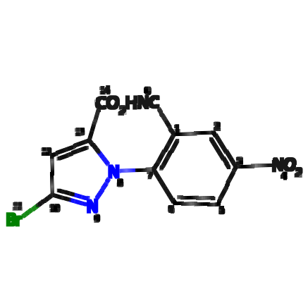 N#Cc1cc([N+](=O)[O-])ccc1-n1nc(Br)cc1C(=O)O